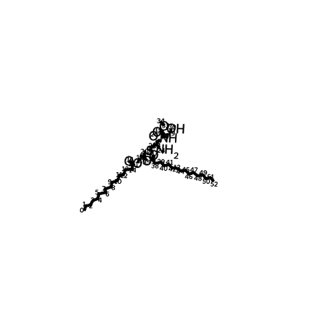 CCCCCCCCCCCCCCCC(=O)OC[C@H](CSC[C@H](N)C(=O)N[C@@H](CO)C(=O)OC)OC(=O)CCCCCCCCCCCCCCC